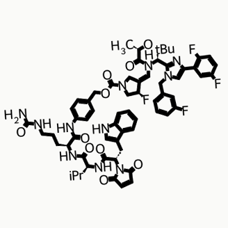 CC(C)[C@H](NC(=O)[C@H](Cc1c[nH]c2ccccc12)N1C(=O)C=CC1=O)C(=O)N[C@@H](CCCNC(N)=O)C(=O)Nc1ccc(COC(=O)N2C/C(=C\N(C(=O)[C@H](C)O)[C@@H](c3nc(-c4cc(F)ccc4F)cn3Cc3cccc(F)c3)C(C)(C)C)[C@@H](F)C2)cc1